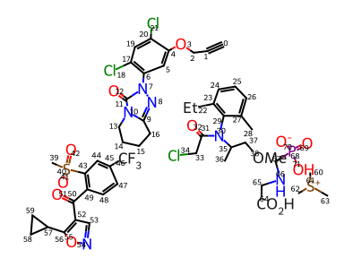 C#CCOc1cc(-n2nc3n(c2=O)CCCC3)c(Cl)cc1Cl.CCc1cccc(C)c1N(C(=O)CCl)C(C)COC.CS(=O)(=O)c1cc(C(F)(F)F)ccc1C(=O)c1cnoc1C1CC1.C[S+](C)C.O=C(O)CNCP(=O)([O-])O